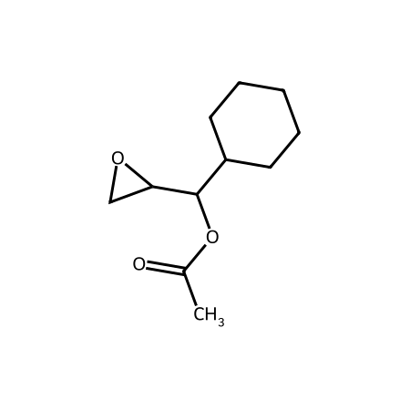 CC(=O)OC(C1CCCCC1)C1CO1